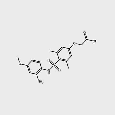 COc1ccc(NS(=O)(=O)c2c(C)cc(OCC(=O)O)cc2C)c(N)c1